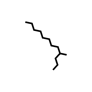 CCCCCCCC[C](C)CCC